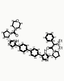 CCN(CC)C(C(=O)N1CCC[C@H]1c1ncc(-c2ccc(-c3ccc(-c4cnc([C@@H]5CCCN5C(=O)N5CCOCC5)[nH]4)cc3)cc2)[nH]1)c1ccccc1